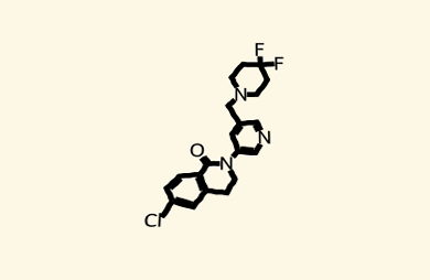 O=C1c2ccc(Cl)cc2CCN1c1cncc(CN2CCC(F)(F)CC2)c1